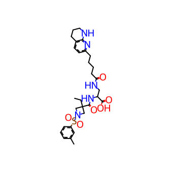 CCC1(C(=O)NC(CNC(=O)CCCCc2ccc3c(n2)NCCC3)C(=O)O)CN(S(=O)(=O)c2cccc(C)c2)C1